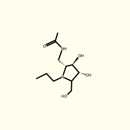 CCCN1C(CO)[C@@H](O)[C@H](O)[C@H]1CNC(C)=O